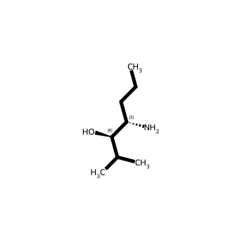 CCC[C@H](N)[C@H](O)C(C)C